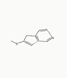 CSC1=Cc2cnccc2C1